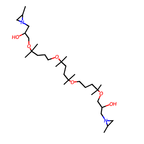 CC1CN1CC(O)COC(C)(C)CCCOC(C)(C)CCC(C)(C)OCCCC(C)(C)OCC(O)CN1CC1C